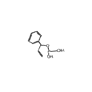 C=CC(OP(O)O)c1ccccc1